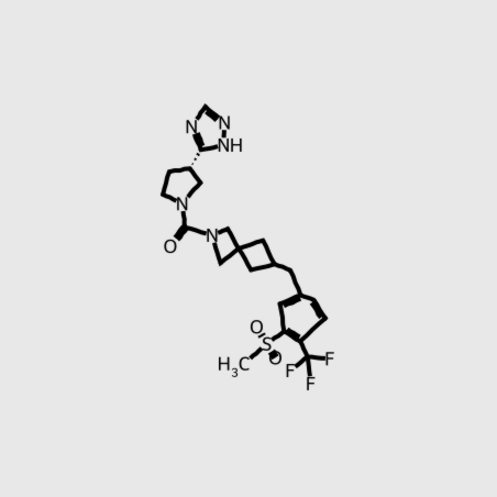 CS(=O)(=O)c1cc(CC2CC3(C2)CN(C(=O)N2CC[C@H](c4ncn[nH]4)C2)C3)ccc1C(F)(F)F